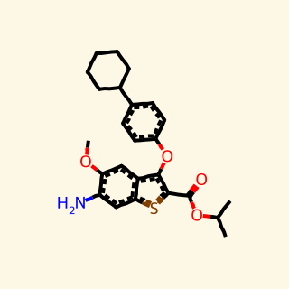 COc1cc2c(Oc3ccc(C4CCCCC4)cc3)c(C(=O)OC(C)C)sc2cc1N